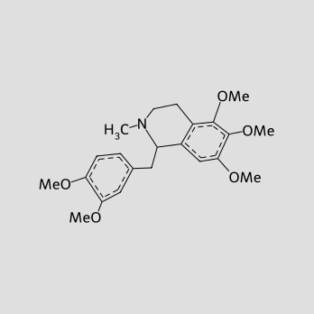 COc1ccc(CC2c3cc(OC)c(OC)c(OC)c3CCN2C)cc1OC